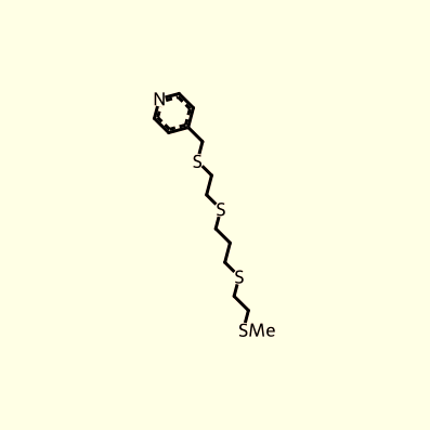 CSCCSCCCSCCSCc1ccncc1